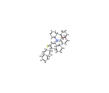 c1ccc(-c2ccccc2N(c2ccccc2)c2cc3sc4cc5ccccc5cc4c3c3ccccc23)cc1